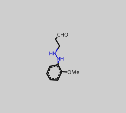 COc1ccccc1NNCCC=O